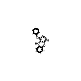 Op1n(Oc2ccccc2)pn[pH]n1Oc1ccccc1